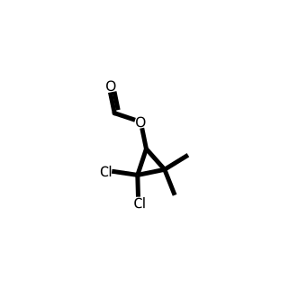 CC1(C)C(OC=O)C1(Cl)Cl